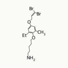 CCc1cc(OCC=C(Br)Br)cc(C)c1OCCCCCN